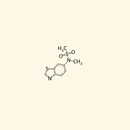 CN(c1ccc2ncsc2c1)S(C)(=O)=O